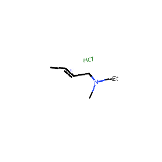 C/C=C/CN(C)CC.Cl